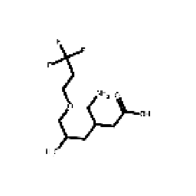 CC(COCCC(F)(F)F)CC(CN)CC(=O)O